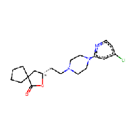 O=C1O[C@@H](CCN2CCN(c3cc(Cl)ccn3)CC2)CC12CCCC2